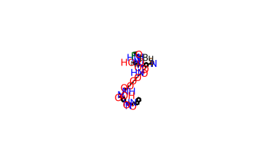 Cc1ncsc1-c1ccc(CNC(=O)[C@@H]2C[C@@H](O)CN2C(=O)C(NC(=O)C2(F)CC2)C(C)(C)C)c(OCC(=O)NCCOCCOCCOCCC(=O)NCCN(C)C(=O)c2ccc(-c3cc(C(=O)N[C@@H]4CCc5ccccc54)no3)cc2O)c1